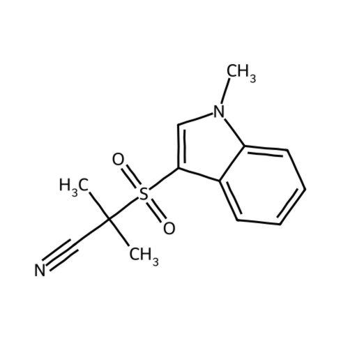 Cn1cc(S(=O)(=O)C(C)(C)C#N)c2ccccc21